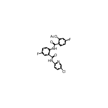 CC(=O)Oc1cc(F)ccc1C(=O)Nc1ccc(F)cc1C(=O)Nc1ccc(Cl)cn1